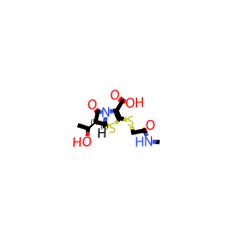 CNC(=O)CSC1=C(C(=O)O)N2C(=O)[C@H](C(C)O)[C@H]2S1